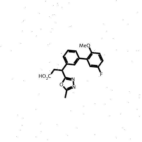 COc1ccc(F)cc1-c1cccc(C(CC(=O)O)c2nnc(C)o2)c1